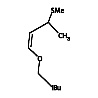 CCC(C)CO/C=C\C(C)SC